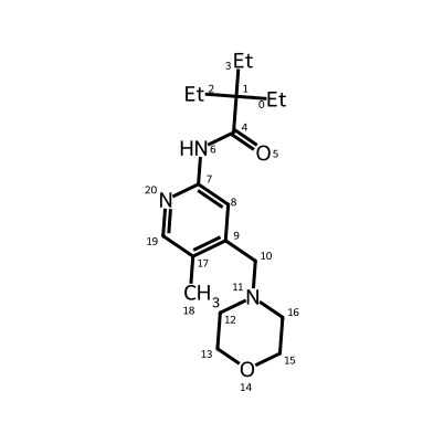 CCC(CC)(CC)C(=O)Nc1cc(CN2CCOCC2)c(C)cn1